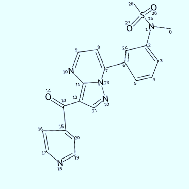 CN(c1cccc(-c2ccnc3c(C(=O)c4ccncc4)cnn23)c1)S(C)(=O)=O